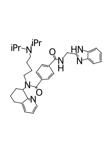 CC(C)N(CCCCN(C(=O)c1ccc(C(=O)NCc2nc3ccccc3[nH]2)cc1)C1CCCc2cccnc21)C(C)C